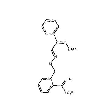 C=C(C(=O)O)c1ccccc1CON=CC(=NOC)c1ccccc1